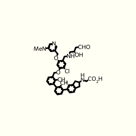 CNc1cncc(COc2cc(OCc3cccc(-c4cccc(-c5ccc6c(c5)CC(NCC(=O)O)C6)c4C)c3C)c(Cl)cc2CNC[C@@H](O)CC=O)c1